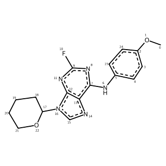 COc1ccc(Nc2nc(F)nc3c2ncn3C2CCCCO2)cc1